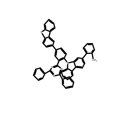 Cc1ccccc1-c1ccc2c3ccccc3n(-c3ccc(-c4ccc5sc6ccccc6c5c4)cc3-c3nc(-c4ccccc4)nc(-c4ccccc4)n3)c2c1